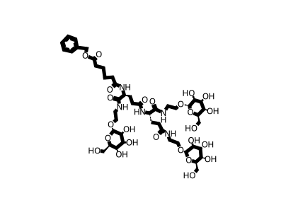 O=C(CC[C@H](NC(=O)CC[C@H](NC(=O)CCCCC(=O)OCc1ccccc1)C(=O)NCCO[C@H]1O[C@H](CO)[C@@H](O)[C@H](O)[C@@H]1O)C(=O)NCCO[C@H]1O[C@H](CO)[C@@H](O)[C@H](O)[C@@H]1O)NCCO[C@H]1O[C@H](CO)[C@@H](O)[C@H](O)[C@@H]1O